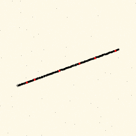 C#CC#CC#CC#CC#CC#CC#CC#CC#CC#CC#CC#CC#CC#CC#CC#CC#CC#CC#CC#CC#CC#CC#CC#CC#CC#CC#CC#CC#CC#CC#CC#CC#CC#CC#CC#CC#CC#CC#CC#CC#CC#CC#CC#CC#CI